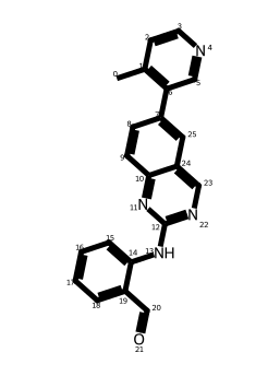 Cc1ccncc1-c1ccc2nc(Nc3ccccc3C=O)ncc2c1